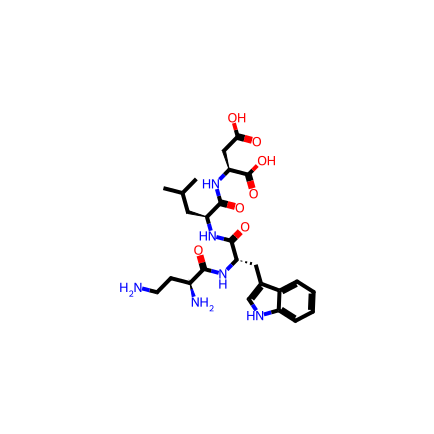 CC(C)C[C@H](NC(=O)[C@H](Cc1c[nH]c2ccccc12)NC(=O)[C@@H](N)CCN)C(=O)N[C@@H](CC(=O)O)C(=O)O